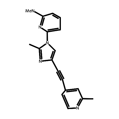 CNc1cccc(-n2cc(C#Cc3ccnc(C)c3)nc2C)n1